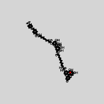 CN(C)c1ccc(/N=N/c2ccc(C(=O)NCCCCCCCCCC(=O)OC3C[C@@H](O)C(O)[C@@](O)(OC4OC(COC(=O)CCCCCCCCCNC(=S)Nc5ccc(-c6c7ccc(=O)cc-7oc7cc(O)ccc67)c(C(=O)O)c5)C(O)C(O)C4O)O3)cc2)cc1